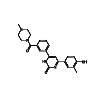 Cc1cc(-c2cc(-c3cccc(C(=O)N4CCN(C)CC4)c3)[nH]c(=O)n2)ccc1O